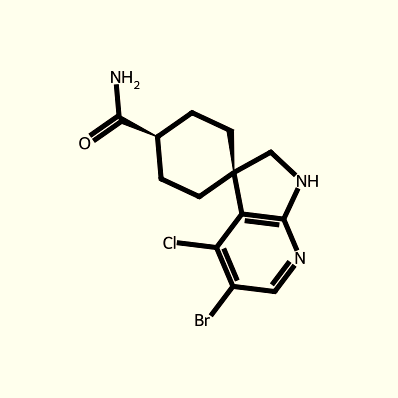 NC(=O)[C@H]1CC[C@@]2(CC1)CNc1ncc(Br)c(Cl)c12